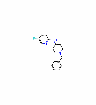 Fc1ccc(NC2CCN(Cc3ccccc3)CC2)nc1